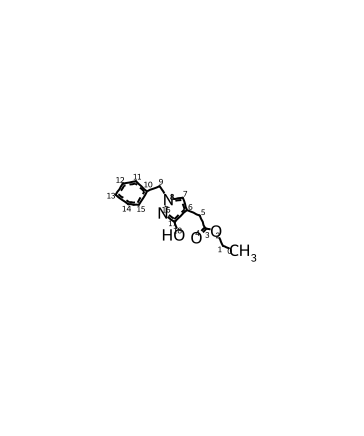 CCOC(=O)Cc1cn(Cc2ccccc2)nc1O